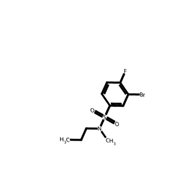 CCCN(C)S(=O)(=O)c1ccc(F)c(Br)c1